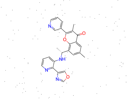 Cc1cc([C@@H](C)Nc2cccnc2-c2cocn2)c2oc(-c3cccnc3)c(C)c(=O)c2c1